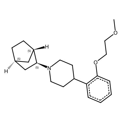 COCCOc1ccccc1C1CCN([C@H]2C[C@H]3CC[C@H]2C3)CC1